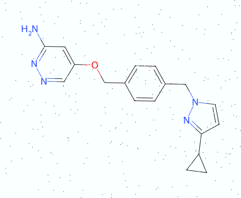 Nc1cc(OCc2ccc(Cn3ccc(C4CC4)n3)cc2)cnn1